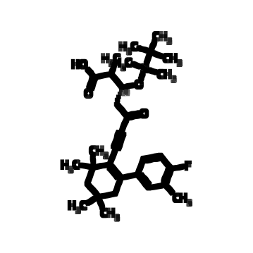 Cc1cc(C2=C(C#CC(=O)C[C@@H](O[Si](C)(C)C(C)(C)C)C(C)C(=O)O)C(C)(C)CC(C)(C)C2)ccc1F